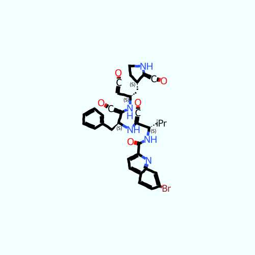 CC(C)[C@H](NC(=O)c1ccc2ccc(Br)cc2n1)C(=C=O)N[C@@H](Cc1ccccc1)C(=C=O)N[C@H](C=C=O)C[C@@H]1CCNC1=C=O